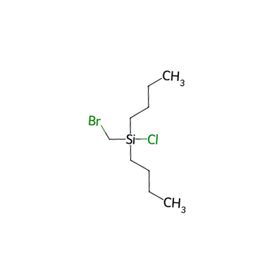 CCCC[Si](Cl)(CBr)CCCC